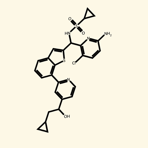 Nc1ccc(Cl)c(C(NS(=O)(=O)C2CC2)c2cc3cccc(-c4cc(C(O)CC5CC5)ccn4)c3s2)n1